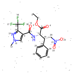 CCOC(=O)[C@@H](NC(=O)c1cn(C)nc1C(F)(F)F)[C@H](C[N+](=O)[O-])c1ccccc1